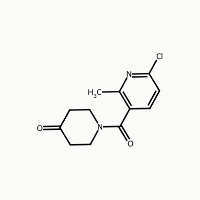 Cc1nc(Cl)ccc1C(=O)N1CCC(=O)CC1